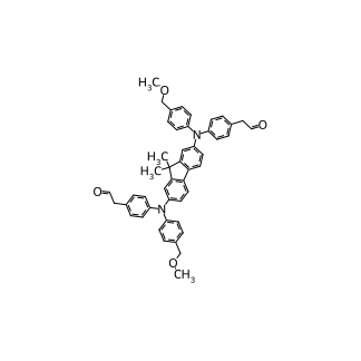 COCc1ccc(N(c2ccc(CC=O)cc2)c2ccc3c(c2)C(C)(C)c2cc(N(c4ccc(CC=O)cc4)c4ccc(COC)cc4)ccc2-3)cc1